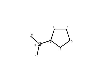 C[Si](C)C1CCCC1